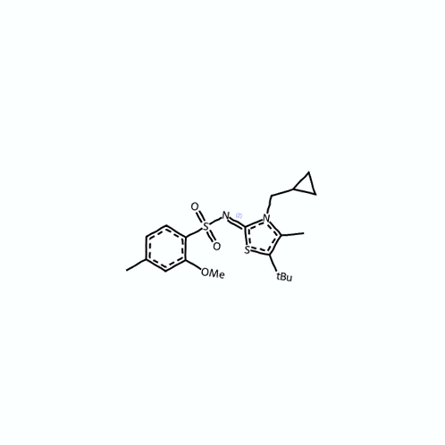 COc1cc(C)ccc1S(=O)(=O)/N=c1\sc(C(C)(C)C)c(C)n1CC1CC1